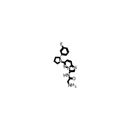 NCC(=O)Nc1cnc2ccc(N3CCC[C@@H]3c3cccc(F)c3)nn12